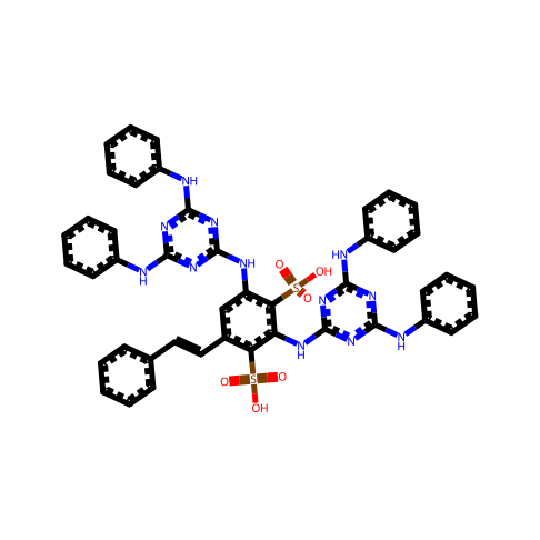 O=S(=O)(O)c1c(C=Cc2ccccc2)cc(Nc2nc(Nc3ccccc3)nc(Nc3ccccc3)n2)c(S(=O)(=O)O)c1Nc1nc(Nc2ccccc2)nc(Nc2ccccc2)n1